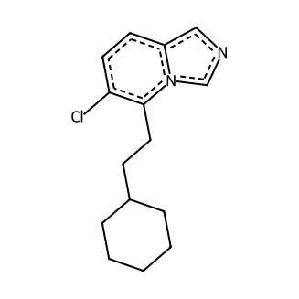 Clc1ccc2cncn2c1CCC1CCCCC1